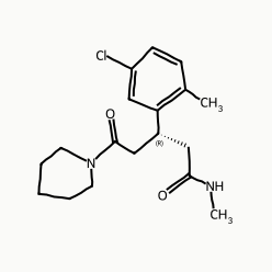 CNC(=O)C[C@H](CC(=O)N1CCCCC1)c1cc(Cl)ccc1C